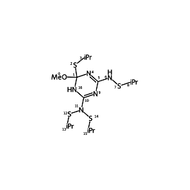 COC1(SC(C)C)N=C(NSC(C)C)N=C(N(SC(C)C)SC(C)C)N1